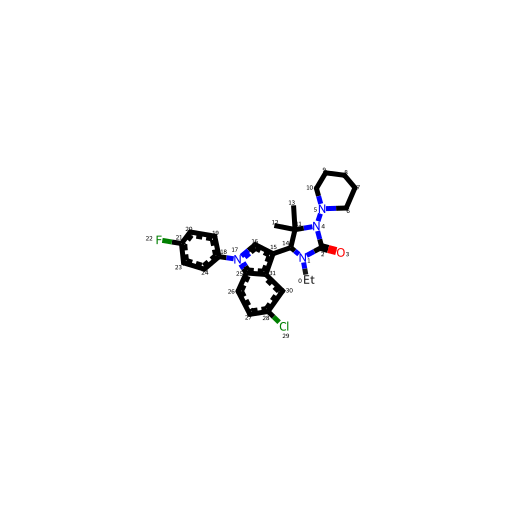 CCN1C(=O)N(N2CCCCC2)C(C)(C)C1c1cn(-c2ccc(F)cc2)c2ccc(Cl)cc12